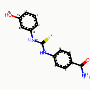 NC(=O)c1ccc(NC(=S)Nc2cccc(O)c2)cc1